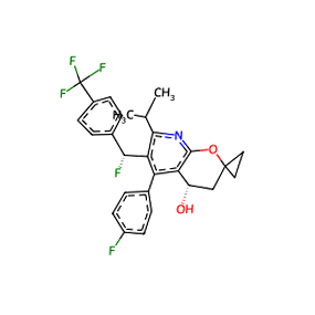 CC(C)c1nc2c(c(-c3ccc(F)cc3)c1[C@H](F)c1ccc(C(F)(F)F)cc1)[C@@H](O)CC1(CC1)O2